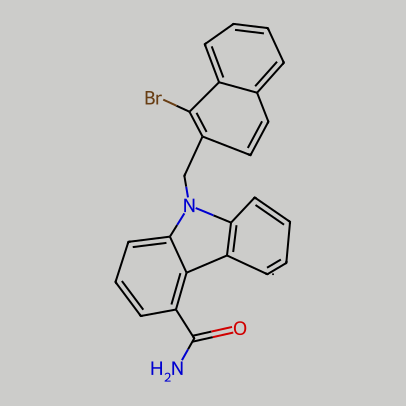 NC(=O)c1cccc2c1c1[c]cccc1n2Cc1ccc2ccccc2c1Br